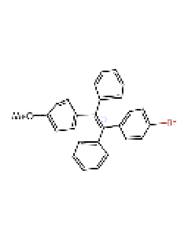 COc1ccc(/C(=C(\c2ccccc2)c2ccc(Br)cc2)c2ccccc2)cc1